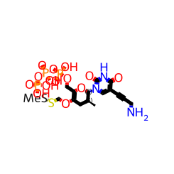 CSSCOC1=C(COP(=O)(O)OP(=O)(O)OP(=O)(O)O)O[C@@H](n2cc(C#CCN)c(=O)[nH]c2=O)[C@@H](C)C1